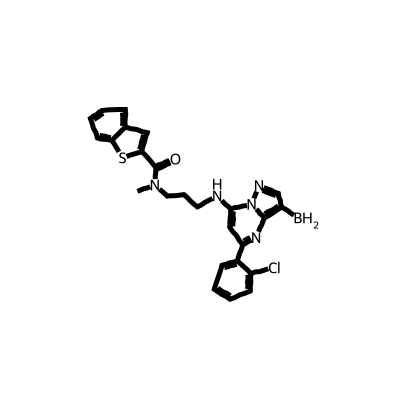 Bc1cnn2c(NCCCN(C)C(=O)c3cc4ccccc4s3)cc(-c3ccccc3Cl)nc12